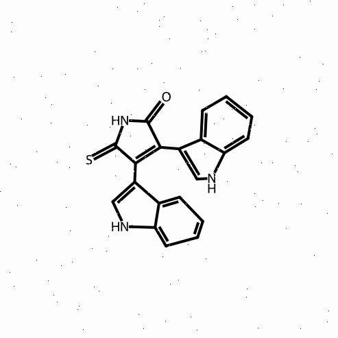 O=C1NC(=S)C(c2c[nH]c3ccccc23)=C1c1c[nH]c2ccccc12